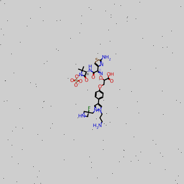 CC1(C)[C@H](NC(=O)/C(=N\OC(COc2ccc(-c3cn(CCCN)[n+](CC4(F)CNC4)c3)cc2)C(=O)O)c2csc(N)n2)C(=O)N1OS(=O)(=O)[O-]